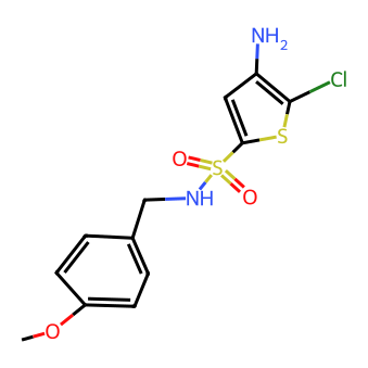 COc1ccc(CNS(=O)(=O)c2cc(N)c(Cl)s2)cc1